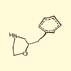 c1ccc(C[C]2CNCCO2)cc1